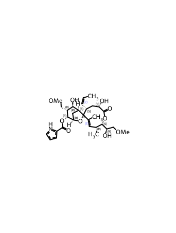 C/C=C\[C@@H]1C[C@H](O)C(=O)O[C@H]([C@H](O)COC)[C@H](C)/C=C(\C)[C@]12O[C@@H]1C[C@H]2[C@H](O)[C@@H](COC)[C@H]1OC(=O)c1ccc[nH]1